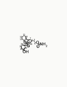 NC(=O)OCCc1cc(C2=CCCCC2)n(S(=O)(=O)c2cccc(O)c2)c1